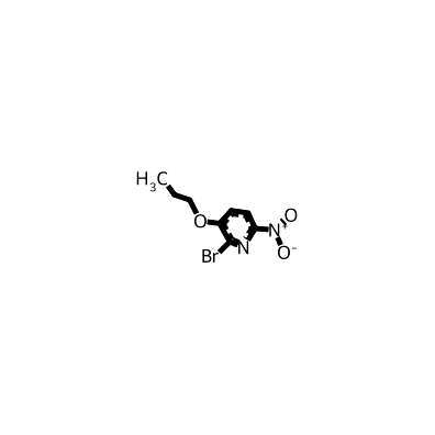 CCCOc1ccc([N+](=O)[O-])nc1Br